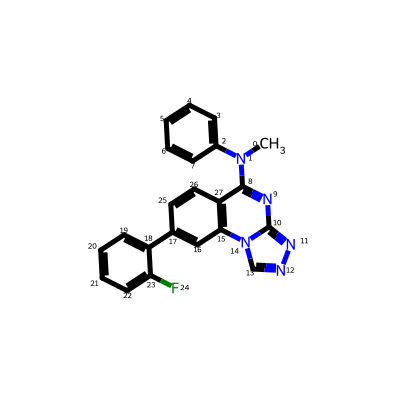 CN(c1ccccc1)c1nc2nncn2c2cc(-c3ccccc3F)ccc12